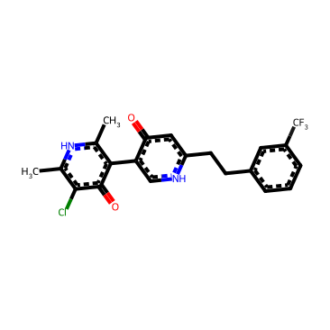 Cc1[nH]c(C)c(-c2c[nH]c(CCc3cccc(C(F)(F)F)c3)cc2=O)c(=O)c1Cl